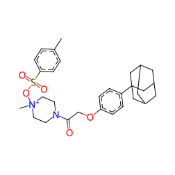 Cc1ccc(S(=O)(=O)O[N+]2(C)CCN(C(=O)COc3ccc(C45CC6CC(CC(C6)C4)C5)cc3)CC2)cc1